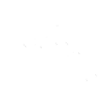 CCOC(=O)[C@H](CNC(=O)NC1CCN(c2ccc(C(=N)N)cc2)C1=O)NC(=O)c1[nH]c2ccccc2c1O